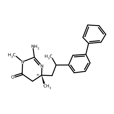 CC(C[C@]1(C)CC(=O)N(C)C(N)=N1)c1cccc(-c2ccccc2)c1